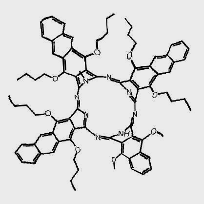 CCCCOc1c2c(c(OCCCC)c3cc4ccccc4cc13)-c1nc-2nc2[nH]c(nc3nc(nc4c5c(OCCCC)c6cc7ccccc7cc6c(OCCCC)c5c(n1)n4C)-c1c-3c(OCCCC)c3cc4ccccc4cc3c1OCCCC)c1c(OC)c3ccccc3c(OC)c21